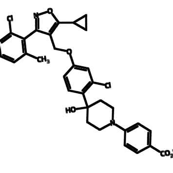 Cc1cccc(Cl)c1-c1noc(C2CC2)c1COc1ccc(C2(O)CCN(c3ccc(C(=O)O)cc3)CC2)c(Cl)c1